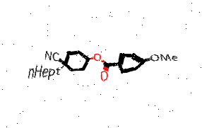 CCCCCCC[C@]1(C#N)CC[C@@H](OC(=O)c2ccc(OC)cc2)CC1